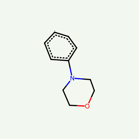 [c]1ccc(N2CCOCC2)cc1